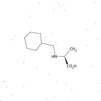 C[C@H](NCC1CCCCC1)C(=O)O